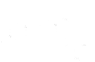 CC(C)OCCN(C)CCCN1CCN(C)CC1